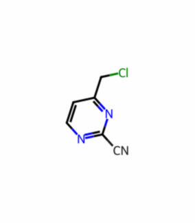 N#Cc1nccc(CCl)n1